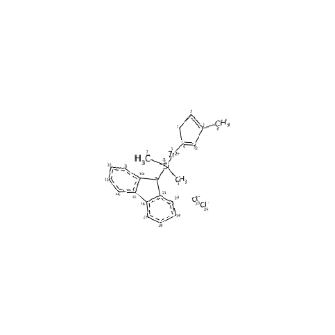 CC1=CC[C]([Zr+2][Si](C)(C)C2c3ccccc3-c3ccccc32)=C1.[Cl-].[Cl-]